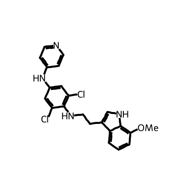 COc1cccc2c(CCNc3c(Cl)cc(Nc4ccncc4)cc3Cl)c[nH]c12